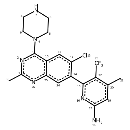 Cc1nc(N2CCNCC2)c2cc(Cl)c(-c3nc(N)cc(C)c3C(F)(F)F)cc2n1